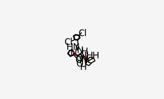 N#Cc1cnc(NCc2cc(Cl)ccc2Cl)nc1NCC12CC3C[C@H](C1)C(NC(=O)OCc1ccccc1)[C@@H](C3)C2